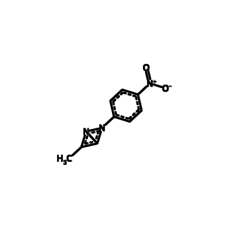 Cc1c2n(-c3ccc([N+](=O)[O-])cc3)n1-2